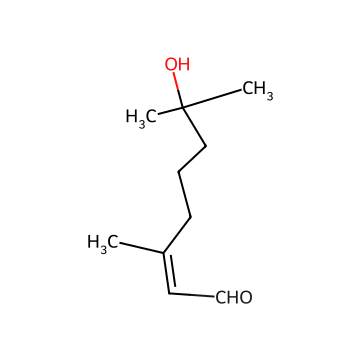 CC(=CC=O)CCCC(C)(C)O